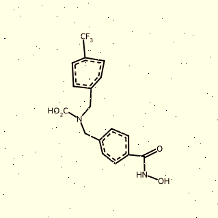 O=C(NO)c1ccc(CN(Cc2ccc(C(F)(F)F)cc2)C(=O)O)cc1